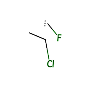 CCCl.[C]F